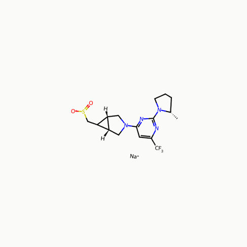 C[C@H]1CCCN1c1nc(N2C[C@@H]3C(CS(=O)[O-])[C@@H]3C2)cc(C(F)(F)F)n1.[Na+]